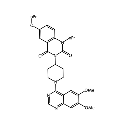 CCCOc1ccc2c(c1)c(=O)n(C1CCN(c3ncnc4cc(OC)c(OC)cc34)CC1)c(=O)n2CCC